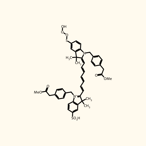 COC(=O)Cc1ccc(CN2/C(=C/C=C/C=C/C=C/C3=[N+](Cc4ccc(CC(=O)OC)cc4)c4ccc(S(=O)(=O)O)cc4C3(C)C)C(C)(C)c3cc(SOOO)ccc32)cc1